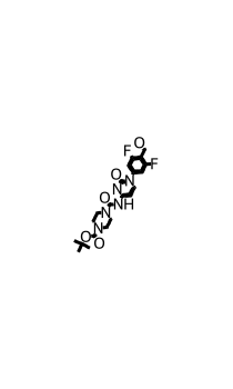 CC(C)(C)OC(=O)N1CCN(C(=O)Nc2ccn(-c3cc(F)c(C=O)c(F)c3)c(=O)n2)CC1